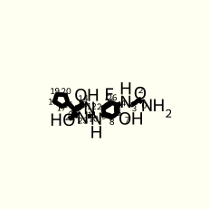 NC(=O)CNc1c(O)cc(Nc2nc(O)c(C3CCCC3)c(O)n2)cc1F